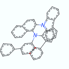 c1ccc(-c2cccc(N(c3ccccc3-c3ccccc3)c3c(-n4c5ccccc5c5ccccc54)ccc4ccccc34)c2)cc1